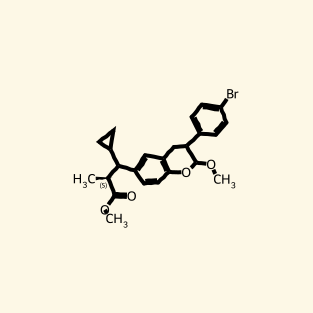 COC(=O)[C@@H](C)C(c1ccc2c(c1)CC(c1ccc(Br)cc1)C(OC)O2)C1CC1